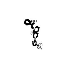 CC(C)c1ccnc(N2CCC3(CCCN(Cc4c[nH]c5ccccc45)C3=O)CC2)n1